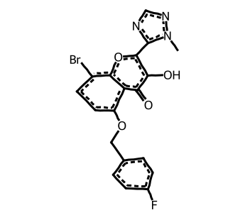 Cn1ncnc1-c1oc2c(Br)ccc(OCc3ccc(F)cc3)c2c(=O)c1O